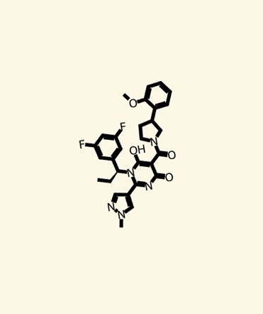 CC[C@@H](c1cc(F)cc(F)c1)n1c(-c2cnn(C)c2)nc(=O)c(C(=O)N2CCC(c3ccccc3OC)C2)c1O